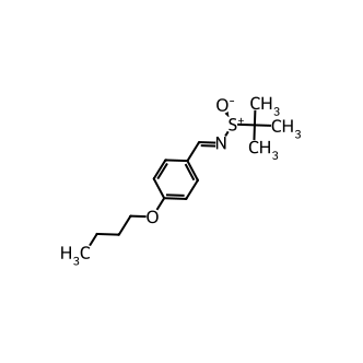 CCCCOc1ccc(/C=N/[S@@+]([O-])C(C)(C)C)cc1